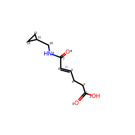 O=C(O)CC/C=C/C(=O)NCC1CC1